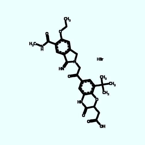 Br.CCOc1cc2c(cc1C(=O)NC)C(=N)N(CC(=O)c1cc3c(c(C(C)(C)C)c1)OC(CC(=O)O)C(=O)N3)C2